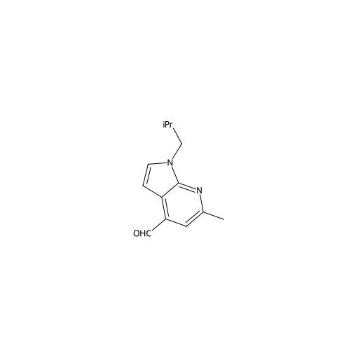 Cc1cc(C=O)c2ccn(CC(C)C)c2n1